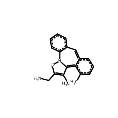 CC1=C(CN)ON2C1=c1c(C)cccc1=Cc1ccccc12